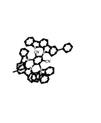 Cc1ccc2c(c1)c1ccc3c4ccccc4sc3c1n2-c1c(-n2c3ccccc3c3ccccc32)c(C#N)c(-n2c3ccc(-c4ccccc4)cc3c3ccc4c5ccccc5sc4c32)c(C#N)c1-n1c2ccccc2c2ccccc21